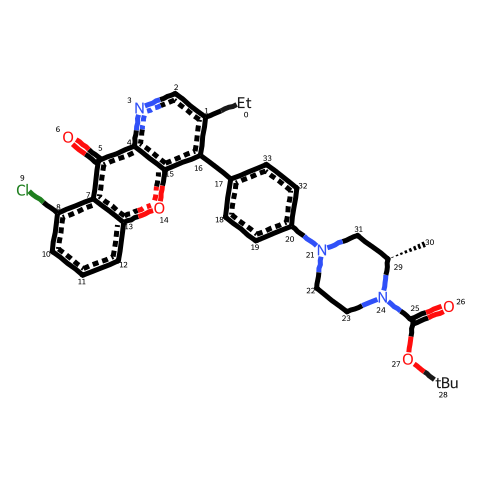 CCc1cnc2c(=O)c3c(Cl)cccc3oc2c1-c1ccc(N2CCN(C(=O)OC(C)(C)C)[C@@H](C)C2)cc1